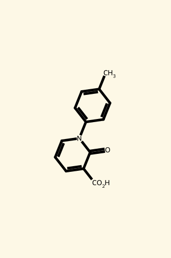 Cc1ccc(-n2cccc(C(=O)O)c2=O)cc1